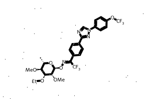 CCO[C@@H]1[C@@H](OC)[C@H](C)O[C@@H](O/N=C(/c2ccc(-c3ncn(-c4ccc(OC(F)(F)F)cc4)n3)cc2)C(F)(F)F)[C@@H]1OC